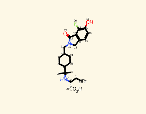 CC(C)C[C@@H](NC(C)(C)C1CCC(CN2Cc3ccc(O)c(F)c3C2=O)CC1)C(=O)O